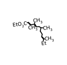 CCOC(=O)/C=C(C)/C(C)=C/CC(C)CC/C=C(\C)CC